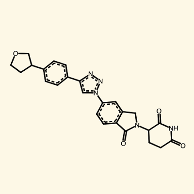 O=C1CCC(N2Cc3cc(-n4cc(-c5ccc(C6CCOC6)cc5)nn4)ccc3C2=O)C(=O)N1